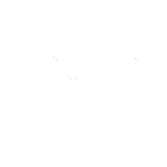 CC(C)(C)OC(=O)C1(c2c[nH]c3ccccc23)CC1(N)C(=O)OCc1ccc([N+](=O)[O-])cc1